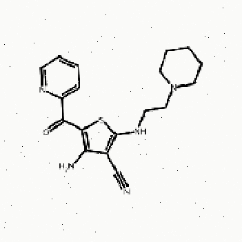 N#Cc1c(NCCN2CCCCC2)sc(C(=O)c2ccccn2)c1N